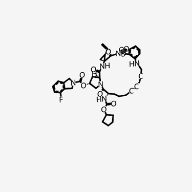 C=C[C@@H]1C[C@@]12NC(=O)[C@@H]1C[C@@H](OC(=O)N3Cc4cccc(F)c4C3)CN1C(=O)[C@@H](NC(=O)OC1CCCC1)CCCCCCCCNc1ccccc1S(=O)(=O)NC2=O